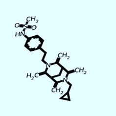 C=C1C2CC(C(=C)N1CCc1ccc(NS(C)(=O)=O)cc1)C(=C)N(CC1CC1)C2=C